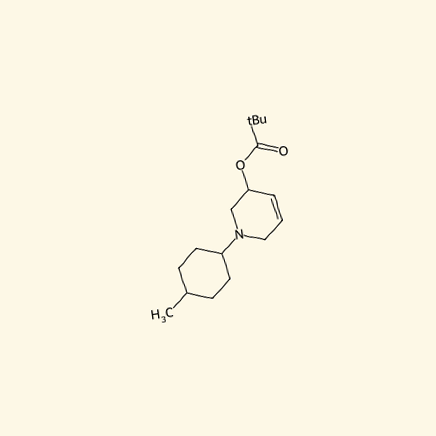 CC1CCC(N2CC=CC(OC(=O)C(C)(C)C)C2)CC1